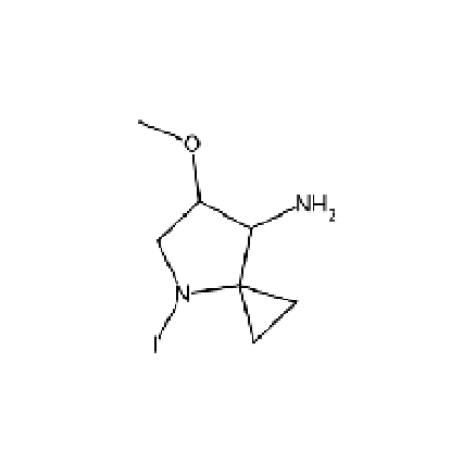 COC1CN(I)C2(CC2)C1N